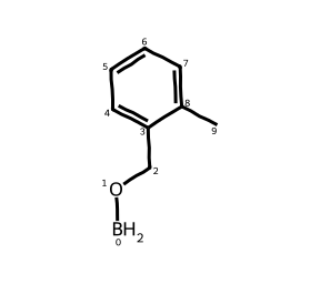 BOCc1ccccc1C